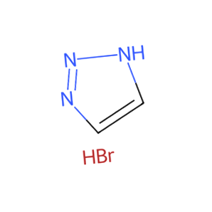 Br.c1c[nH]nn1